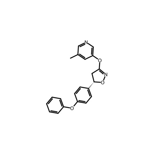 Cc1cncc(OC2=NO[C@H](c3ccc(Oc4ccccc4)cc3)C2)c1